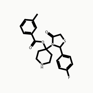 Cc1cccc(C(=O)OC2(N3C(=O)CSC3c3ccc(F)cc3)CCNCC2)c1